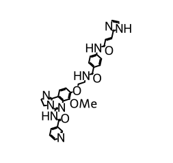 COc1c(OCCNC(=O)c2ccc(NC(=O)C=Cc3ncc[nH]3)cc2)ccc2c1N=C(NC(=O)c1cccnc1)N1CCN=C21